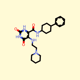 O=C(NC1CCC(c2ccccc2)CC1)c1[nH]c(=O)[nH]c(=O)c1NCCN1CCCCC1